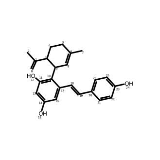 C=C(C)C1CCC(C)=CC1c1c(O)cc(O)cc1/C=C/c1ccc(O)cc1